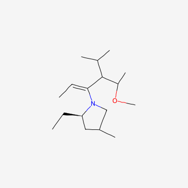 C/C=C(/C(C(C)C)C(C)OC)N1CC(C)C[C@H]1CC